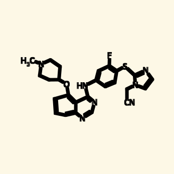 CN1CCC(Oc2cccc3ncnc(Nc4ccc(Sc5nccn5CC#N)c(F)c4)c23)CC1